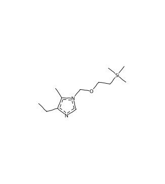 CCc1ncn(COCC[Si](C)(C)C)c1C